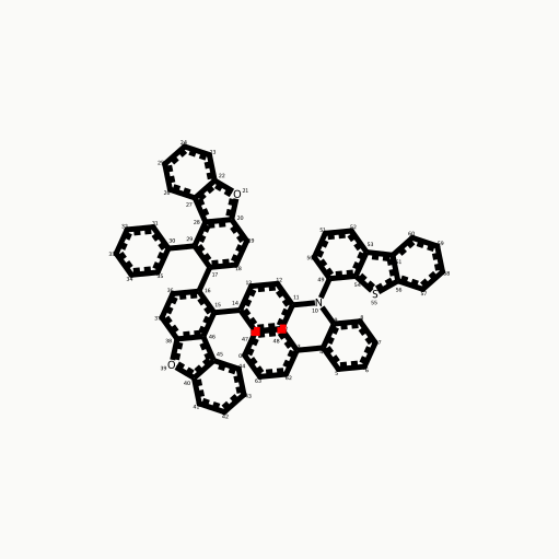 c1ccc(-c2ccccc2N(c2ccc(-c3c(-c4ccc5oc6ccccc6c5c4-c4ccccc4)ccc4oc5ccccc5c34)cc2)c2cccc3c2sc2ccccc23)cc1